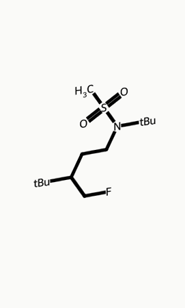 CC(C)(C)C(CF)CCN(C(C)(C)C)S(C)(=O)=O